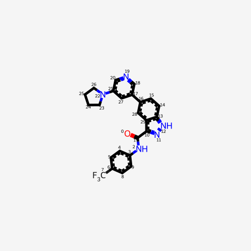 O=C(Nc1ccc(C(F)(F)F)cc1)c1n[nH]c2ccc(-c3cncc(N4CCCC4)c3)cc12